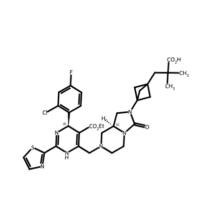 CCOC(=O)C1=C(CN2CCN3C(=O)N(C45CC(CC(C)(C)C(=O)O)(C4)C5)C[C@@H]3C2)NC(c2nccs2)=N[C@H]1c1ccc(F)cc1Cl